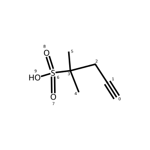 C#CCC(C)(C)S(=O)(=O)O